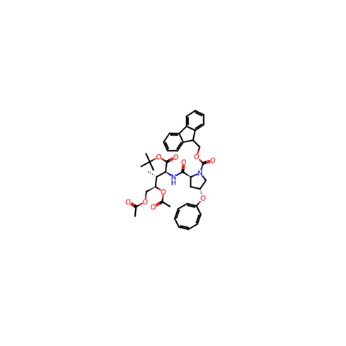 CC(=O)OC[C@H](OC(C)=O)[C@H](C)[C@H](NC(=O)[C@@H]1C[C@@H](OC2=C/C=C\C=C/C=C\2)CN1C(=O)OCC1c2ccccc2-c2ccccc21)C(=O)OC(C)(C)C